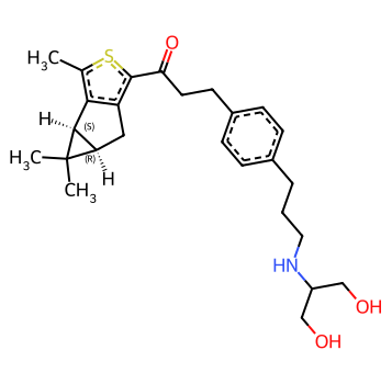 Cc1sc(C(=O)CCc2ccc(CCCNC(CO)CO)cc2)c2c1[C@H]1[C@@H](C2)C1(C)C